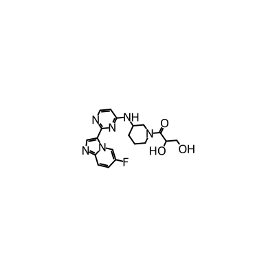 O=C(C(O)CO)N1CCCC(Nc2ccnc(-c3cnc4ccc(F)cn34)n2)C1